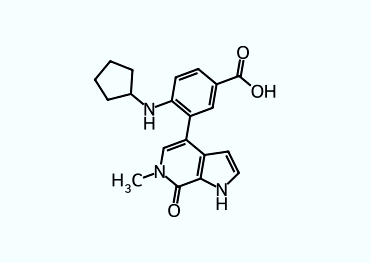 Cn1cc(-c2cc(C(=O)O)ccc2NC2CCCC2)c2cc[nH]c2c1=O